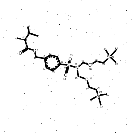 CC(C)[C@H](C)C(=O)OCc1ccc(S(=O)(=O)N(COCC[Si](C)(C)C)COCC[Si](C)(C)C)cc1